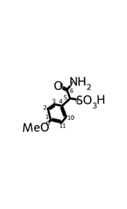 COc1ccc(C(C(N)=O)S(=O)(=O)O)cc1